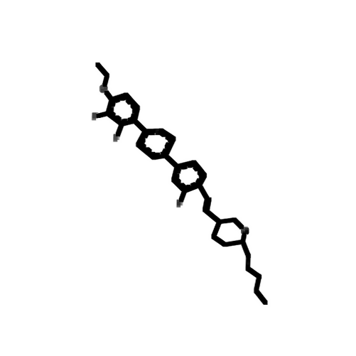 CCCCCC1CCC(/C=C/c2ccc(-c3ccc(-c4ccc(OCC)c(F)c4F)cc3)cc2F)CO1